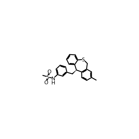 Cc1ccc2c(c1)CSc1ccccc1[C@@H]2Cc1cccc(NS(C)(=O)=O)c1